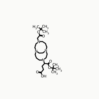 CC(C)(C)OC(=O)CN1CCCN2CCN(CCCN(C(CCC(=O)O)C(=O)OC(C)(C)C)CC2)CC1